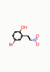 O=[N+]([O-])C=Cc1cc(Br)ccc1O